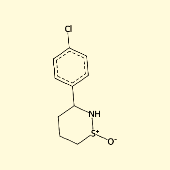 [O-][S+]1CCCC(c2ccc(Cl)cc2)N1